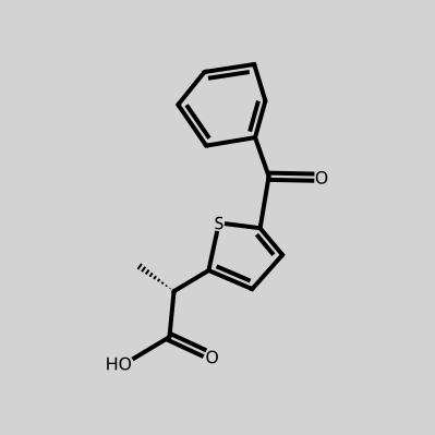 C[C@@H](C(=O)O)c1ccc(C(=O)c2ccccc2)s1